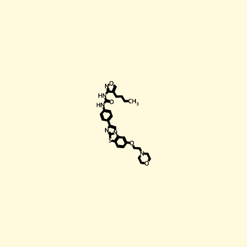 CCCCc1conc1NC(=O)Nc1ccc(-c2cn3c(n2)sc2ccc(OCCN4CCOCC4)cc23)cc1